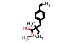 C=Cc1ccc(CC(C)(CC)C(O)OC)cc1